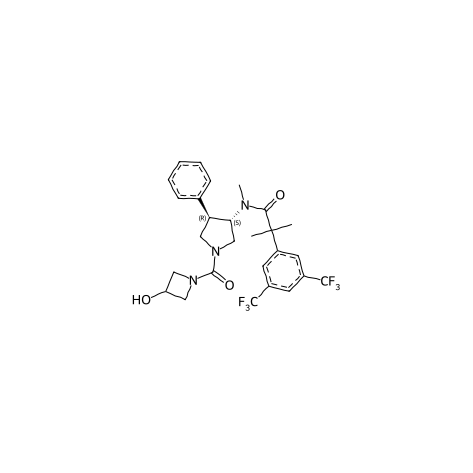 CN(C(=O)C(C)(C)c1cc(C(F)(F)F)cc(C(F)(F)F)c1)[C@@H]1CN(C(=O)N2CC(O)C2)C[C@H]1c1ccccc1